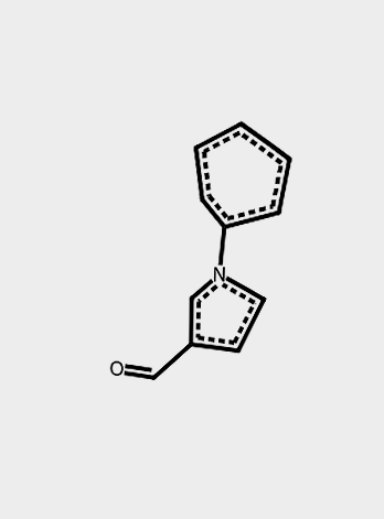 O=Cc1ccn(-c2ccccc2)c1